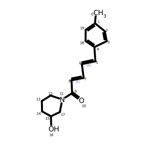 Cc1ccc(/C=C/C=C/C(=O)N2CCCC(O)C2)cc1